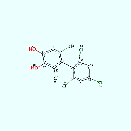 Oc1cc(Cl)c(-c2c(Cl)cc(Cl)cc2Cl)c(Cl)c1O